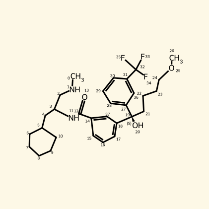 CNCC(CC1CCCCC1)NC(=O)c1cccc([C@@](O)(CCCCOC)c2cccc(C(F)(F)F)c2)c1